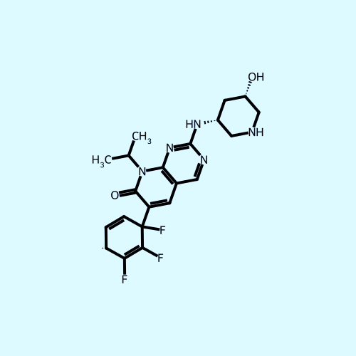 CC(C)n1c(=O)c(C2(F)C=C[CH]C(F)=C2F)cc2cnc(N[C@H]3CNC[C@@H](O)C3)nc21